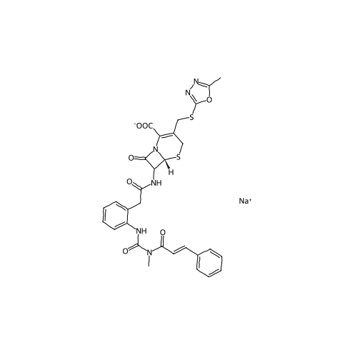 Cc1nnc(SCC2=C(C(=O)[O-])N3C(=O)C(NC(=O)Cc4ccccc4NC(=O)N(C)C(=O)/C=C/c4ccccc4)[C@H]3SC2)o1.[Na+]